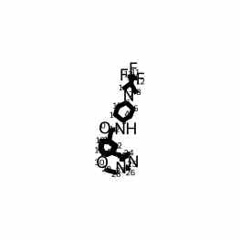 O=C(NC1CCC(N2CC(C(F)(F)F)C2)CC1)c1ccc2c(c1)-c1cncn1CCO2